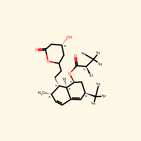 [2H]C([2H])([2H])[C@H]1C=C2C=C[C@H](C)[C@H](CCC3C[C@@H](O)CC(=O)O3)[C@H]2[C@@H](OC(=O)[C@H](CC)C([2H])([2H])[2H])C1